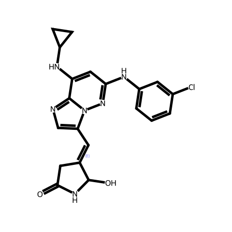 O=C1C/C(=C\c2cnc3c(NC4CC4)cc(Nc4cccc(Cl)c4)nn23)C(O)N1